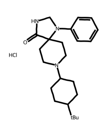 CC(C)(C)C1CCC(N2CCC3(CC2)C(=O)NCN3c2ccccc2)CC1.Cl